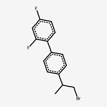 CC(CBr)c1ccc(-c2ccc(F)cc2F)cc1